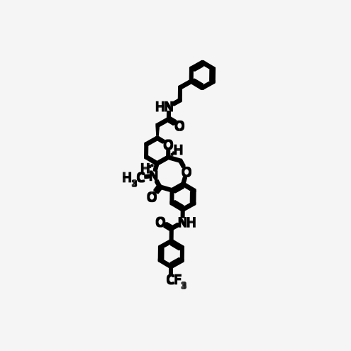 CN1C(=O)c2cc(NC(=O)c3ccc(C(F)(F)F)cc3)ccc2OC[C@@H]2O[C@H](CC(=O)NCCc3ccccc3)CC[C@@H]21